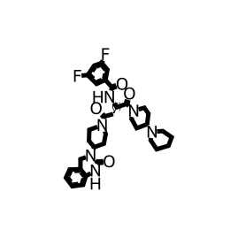 O=C(N[C@@H](CC(=O)N1CCC(N2Cc3ccccc3NC2=O)CC1)C(=O)N1CCC(N2CCCCC2)CC1)c1cc(F)cc(F)c1